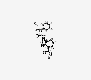 CCCN(C(=O)Cn1cnc2c(C(=O)OC)cccc21)c1ccccc1